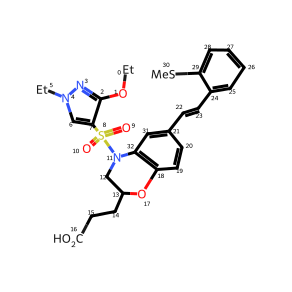 CCOc1nn(CC)cc1S(=O)(=O)N1CC(CCC(=O)O)Oc2ccc(C=Cc3ccccc3SC)cc21